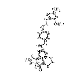 COc1cc(C(F)(F)F)nn1CCOc1ccc(CNc2nc3c4c(n2)N(C)[C@@](C)(CO)C(=O)N4CCC3)cn1